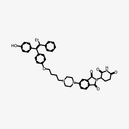 CCC(=C(c1ccc(O)cc1)c1ccc(OCCCCN2CCN(c3ccc4c(c3)C(=O)N(C3CCC(=O)NC3=O)C4=O)CC2)cc1)c1ccccc1